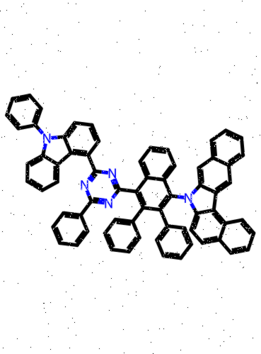 c1ccc(-c2nc(-c3c(-c4ccccc4)c(-c4ccccc4)c(-n4c5cc6ccccc6cc5c5c6ccccc6ccc54)c4ccccc34)nc(-c3cccc4c3c3ccccc3n4-c3ccccc3)n2)cc1